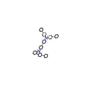 C1=CC(N(C2=CCC(c3ccccc3)C=C2)c2ccc(-c3ccc(-n4c5ccccc5c5ccc(-c6ccccc6)cc54)cc3)cc2)CC=C1c1ccccc1